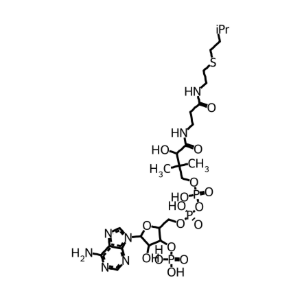 CC(C)CCSCCNC(=O)CCNC(=O)C(O)C(C)(C)COP(=O)(O)OP(=O)(O)OCC1OC(n2cnc3c(N)ncnc32)C(O)C1OP(=O)(O)O